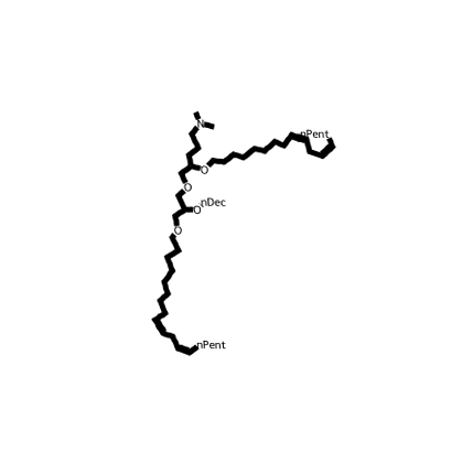 CCCCC/C=C\C/C=C\CCCCCCCCOCC(COCC(CCCN(C)C)OCCCCCCCC/C=C\C/C=C\CCCCC)OCCCCCCCCCC